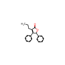 CCCC1=C(c2ccccc2)C(c2ccccc2)OC1=O